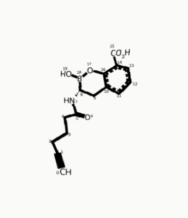 C#CCCCC(=O)N[C@H]1Cc2cccc(C(=O)O)c2OB1O